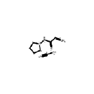 C=CC(=O)NN1CCCC1.N#CS